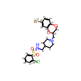 O=S(=O)(NCC1CCN(CC2COc3ccc(Br)cc3O2)CC1)c1ccccc1Cl